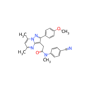 COc1ccc(-c2nn3c(C)cc(C)nc3c2CC(=O)N(C)c2ccc(C#N)cc2)cc1